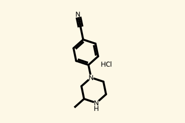 CC1CN(c2ccc(C#N)cc2)CCN1.Cl